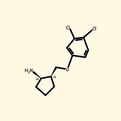 N[C@@H]1CCC[C@@H]1COc1ccc(Cl)c(Cl)c1